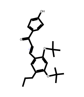 CCCc1cc(/C=C/C(=O)c2ccc(O)cc2)c(OC(C)(C)C)cc1OC(C)(C)C